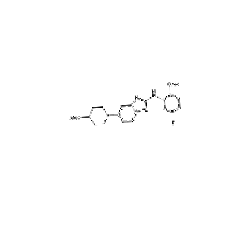 COc1ccc(F)cc1Nc1nc2cc(N3CCC(OC)CC3)ccc2s1